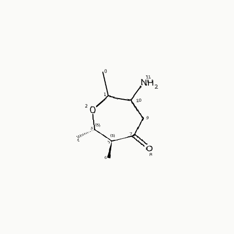 CC1O[C@@H](C)[C@H](C)C(=O)CC1N